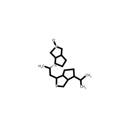 CC(C)C1CCC2C(CC(C)[C@H]3CCC4C[S+]([O-])CC43)SCC12